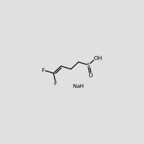 O=S(O)CCC=C(F)F.[NaH]